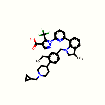 CCc1cc(CN2CC(C)c3cccc(-c4cccc(-n5ncc(C(=O)O)c5C(F)(F)F)n4)c32)ccc1C1CCN(CC2CC2)CC1